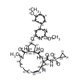 COc1cccc(-c2cc(O[C@@H]3C[C@H]4C(=O)N[C@]5(C(=O)NS(=O)(=O)C6CC6)C[C@H]5/C=C\CCCCN(C)C(=O)[C@@H]4C3)nc(OC)n2)c1